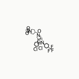 CS(=O)(=O)N1CCC(C(=O)N2C[C@H](CNc3ccc(C(F)(F)F)cc3)[C@@H](c3ccc(Cl)c(Cl)c3)C2)CC1